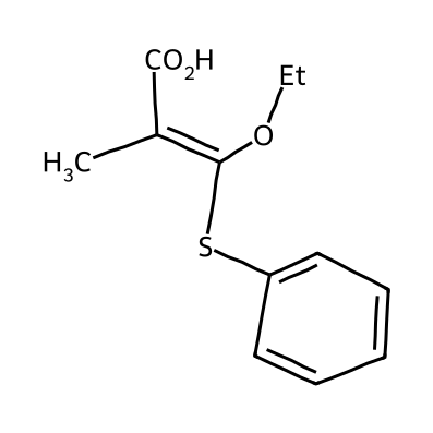 CCO/C(Sc1ccccc1)=C(/C)C(=O)O